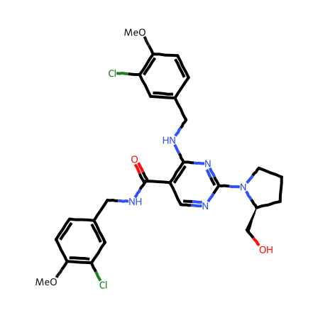 COc1ccc(CNC(=O)c2cnc(N3CCC[C@H]3CO)nc2NCc2ccc(OC)c(Cl)c2)cc1Cl